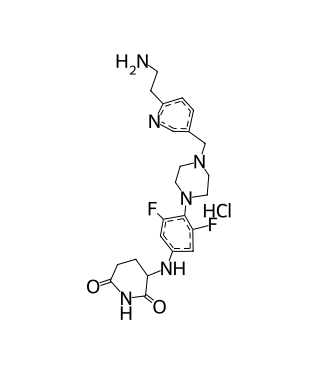 Cl.NCCc1ccc(CN2CCN(c3c(F)cc(NC4CCC(=O)NC4=O)cc3F)CC2)cn1